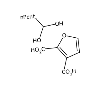 CCCCCC(O)O.O=C(O)c1ccoc1C(=O)O